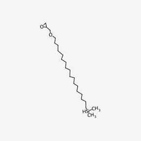 C[SiH](C)CCCCCCCCCCCCCCCCCCOCC1CO1